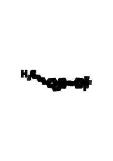 CCCCCCC1CCC2c3ccc(C#Cc4ccc(C(F)(F)F)cc4)cc3CCC2C1